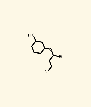 CCC(C)CCC(CC)SC1CCCC(C)C1